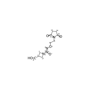 O=C(O)C1CN(/[N+]([O-])=N/OCCN2C(=O)CCC2=O)C1